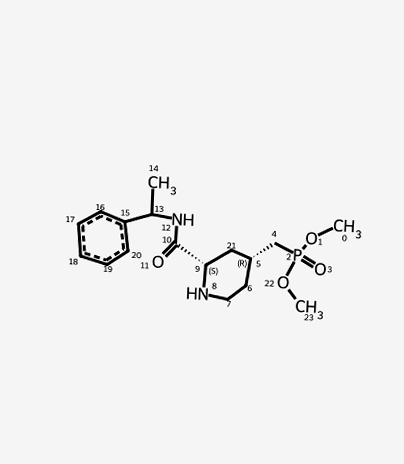 COP(=O)(C[C@@H]1CCN[C@H](C(=O)NC(C)c2ccccc2)C1)OC